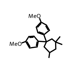 COc1ccc(C2(c3ccc(OC)cc3)CC(C)CC(C)(C)C2)cc1